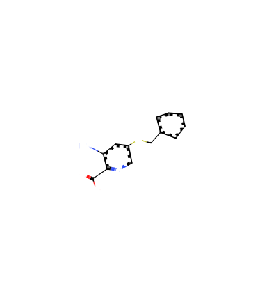 Nc1cc(SCc2ccccc2)cnc1C(=O)O